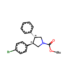 CC(C)(C)OC(=O)N1C[C@@H](c2ccccc2)[C@H](c2ccc(Br)cc2)C1